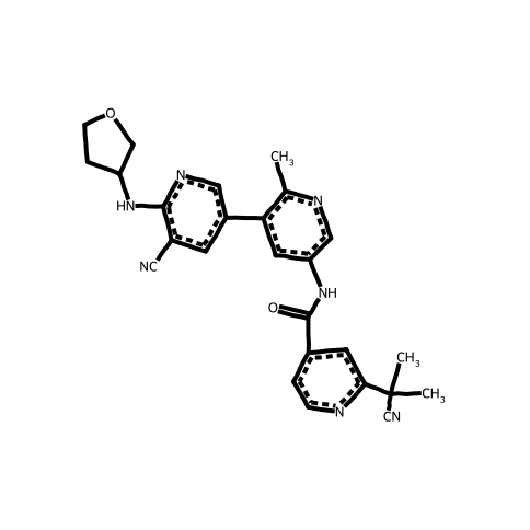 Cc1ncc(NC(=O)c2ccnc(C(C)(C)C#N)c2)cc1-c1cnc(NC2CCOC2)c(C#N)c1